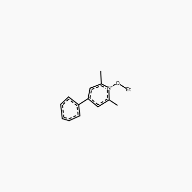 CCO[n+]1c(C)cc(-c2ccccc2)cc1C